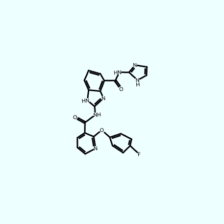 O=C(Nc1nc2c(C(=O)Nc3ncc[nH]3)cccc2[nH]1)c1cccnc1Oc1ccc(F)cc1